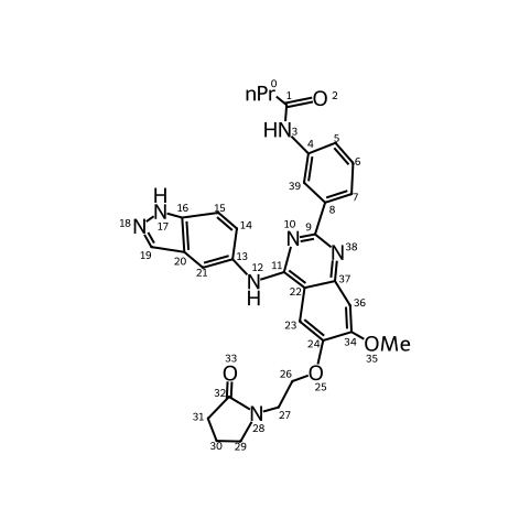 CCCC(=O)Nc1cccc(-c2nc(Nc3ccc4[nH]ncc4c3)c3cc(OCCN4CCCC4=O)c(OC)cc3n2)c1